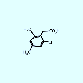 Cc1cc(C)c(CC(=O)O)c(Cl)c1